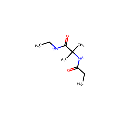 CCNC(=O)C(C)(C)NC(=O)CC